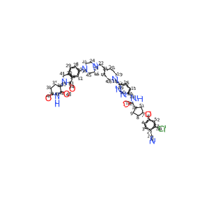 N#Cc1ccc(OC2CCC(C(=O)Nc3ccc(N4CCC(CN5CCN(c6ccc7c(c6)C(=O)N(C6CCC(=O)NC6=O)C7)CC5)CC4)nn3)C2)cc1Cl